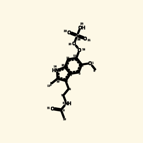 COc1cc2c(CCNC(C)=O)c(I)[nH]c2cc1OOS(=O)(=O)O